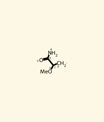 [CH2]C(OC)C(N)=O